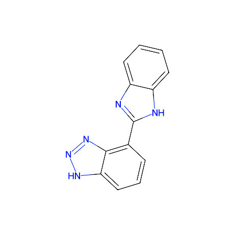 c1ccc2[nH]c(-c3cccc4[nH]nnc34)nc2c1